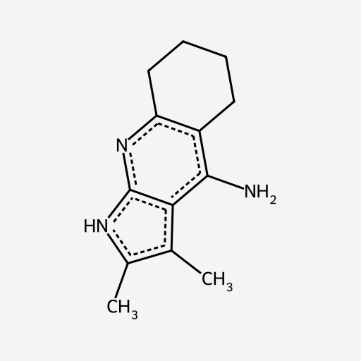 Cc1[nH]c2nc3c(c(N)c2c1C)CCCC3